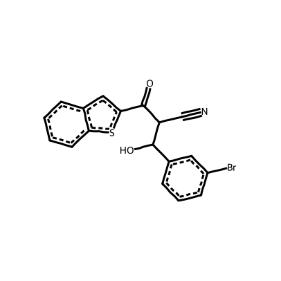 N#CC(C(=O)c1cc2ccccc2s1)C(O)c1cccc(Br)c1